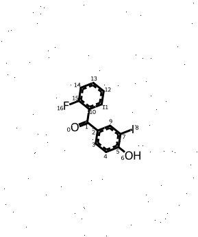 O=C(c1ccc(O)c(I)c1)c1ccccc1F